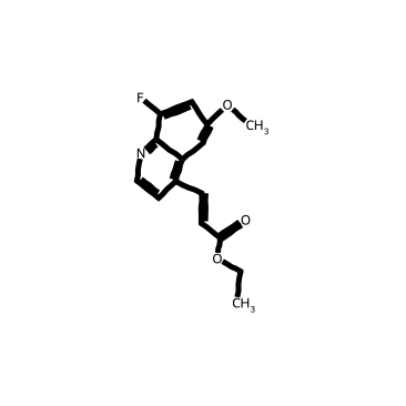 CCOC(=O)C=Cc1ccnc2c(F)cc(OC)cc12